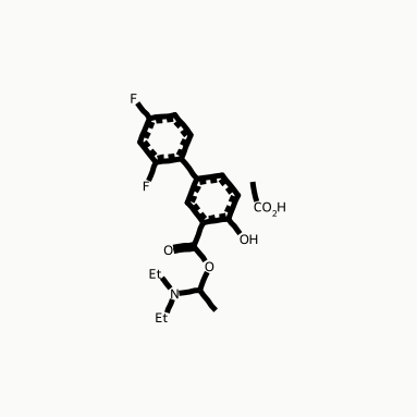 CC(=O)O.CCN(CC)C(C)OC(=O)c1cc(-c2ccc(F)cc2F)ccc1O